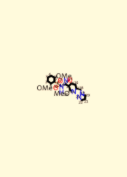 COc1cccc(OC)c1S(=O)(=O)Nc1noc2cc(Cn3cccn3)nc(OC)c12